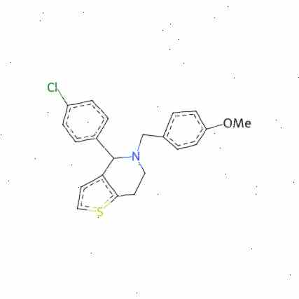 COc1ccc(CN2CCc3sccc3C2c2ccc(Cl)cc2)cc1